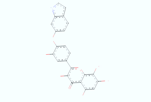 O=c1c(O)c(-c2ccc(Oc3ccc4cc[nH]c4c3)c(O)c2)oc2c(O)c(O)cc(O)c12